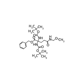 COCNC(=O)CCC(NC(=O)OC(C)(C)C)(NC(=O)OC(C)(C)C)C(=O)OCc1ccccc1